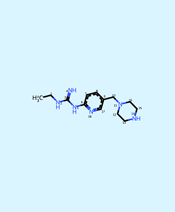 CCNC(=N)Nc1ccc(CN2CCNCC2)cn1